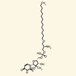 CCCCCCCCCCCCCCOC[C@@H](N)COP(=O)(O)OC[C@H]1O[C@@H](n2ccc(=O)[nH]c2=S)C(C)(O)[C@H]1O